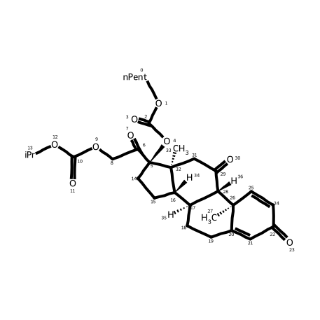 CCCCCOC(=O)O[C@]1(C(=O)COC(=O)OC(C)C)CC[C@H]2[C@@H]3CCC4=CC(=O)C=C[C@]4(C)[C@H]3C(=O)C[C@@]21C